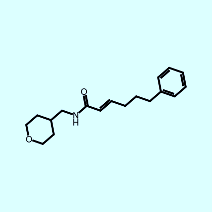 O=C(/C=C/CCCc1ccccc1)NCC1CCOCC1